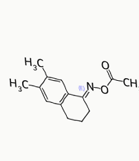 CC(=O)O/N=C1\CCCc2cc(C)c(C)cc21